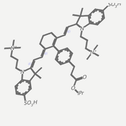 CC(C)OC(=O)CCc1ccc(C2=C(/C=C/C3N(CCC[N+](C)(C)C)c4ccc(S(=O)(=O)O)cc4C3(C)C)CCC/C2=C\C=C2\N(CCC[N+](C)(C)C)c3ccc(S(=O)(=O)O)cc3C2(C)C)cc1